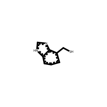 SCc1cccc2[nH]cnc12